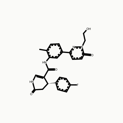 Cc1ccc(-c2ccc(=O)n(CCO)n2)cc1NC(=O)C1=CNC(=O)C[C@H]1c1ccc(F)cc1